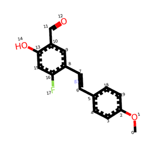 COc1ccc(/C=C/c2cc(C=O)c(O)cc2F)cc1